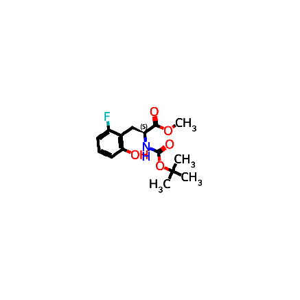 COC(=O)[C@H](Cc1c(O)cccc1F)NC(=O)OC(C)(C)C